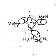 CCC1(NC)CC2CC(C)CC(N3CN(C4(C)CC5CC(C)CC(N(C)C)(C5)C4)CN(C4(CC)CC5CCCC(NC)(C5)C4)C3)(C2)C1